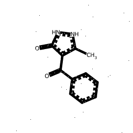 Cc1[nH][nH]c(=O)c1C(=O)c1ccccc1